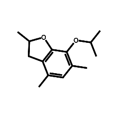 Cc1cc(C)c(OC(C)C)c2c1CC(C)O2